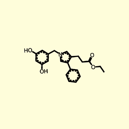 CCOC(=O)CCc1cn(Cc2cc(O)cc(O)c2)cc1-c1ccccc1